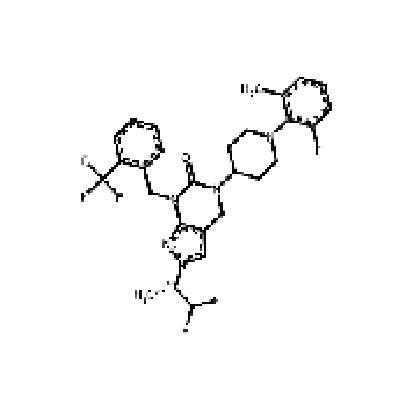 Cc1cccc(F)c1N1CCC(N2Cc3cn([C@@H](C)C(F)F)nc3N(Cc3ccccc3C(F)(F)F)C2=O)CC1